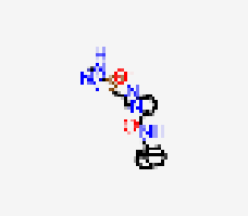 O=C(NCC12CC3CC(CC(C3)C1)C2)c1cccc2nc(C[S+]([O-])c3nnc[nH]3)cn12